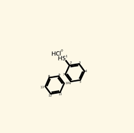 Cl.Sc1ccccc1.c1ccccc1